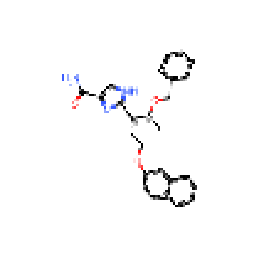 C[C@H](OCc1ccccc1)[C@H](CCOc1ccc2ccccc2c1)c1nc(C(N)=O)c[nH]1